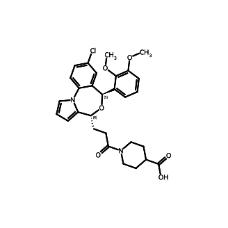 COc1cccc([C@H]2O[C@H](CCC(=O)N3CCC(C(=O)O)CC3)c3cccn3-c3ccc(Cl)cc32)c1OC